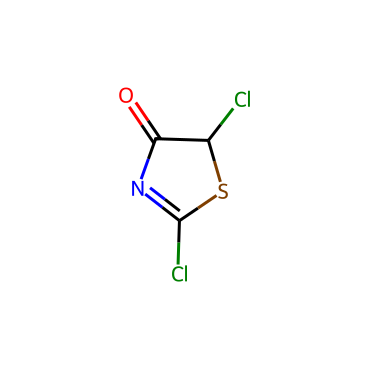 O=C1N=C(Cl)SC1Cl